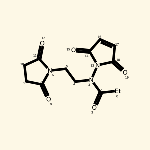 CCC(=O)N(CCN1C(=O)CCC1=O)N1C(=O)C=CC1=O